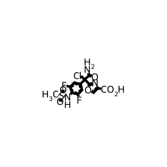 CS(=O)(=O)Nc1c(F)cc(C(Cl)(C(N)=O)c2nc(C(=O)O)co2)cc1F